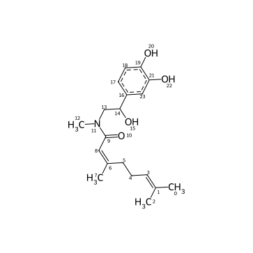 CC(C)=CCCC(C)=CC(=O)N(C)CC(O)c1ccc(O)c(O)c1